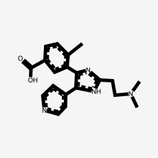 Cc1ccc(C(=O)O)cc1-c1nc(CCN(C)C)[nH]c1-c1ccncc1